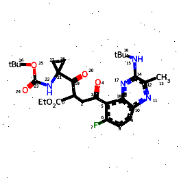 CCOC(=O)C(CC(=O)c1c(F)ccc2nc(C)c(NC(C)(C)C)nc12)C(=O)C1(NC(=O)OC(C)(C)C)CC1